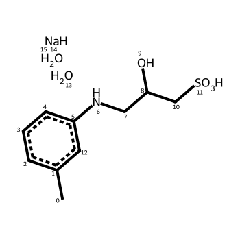 Cc1cccc(NCC(O)CS(=O)(=O)O)c1.O.O.[NaH]